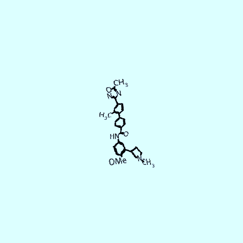 COc1ccc(NC(=O)c2ccc(-c3ccc(-c4noc(C)n4)cc3C)cc2)cc1C1CCN(C)C1